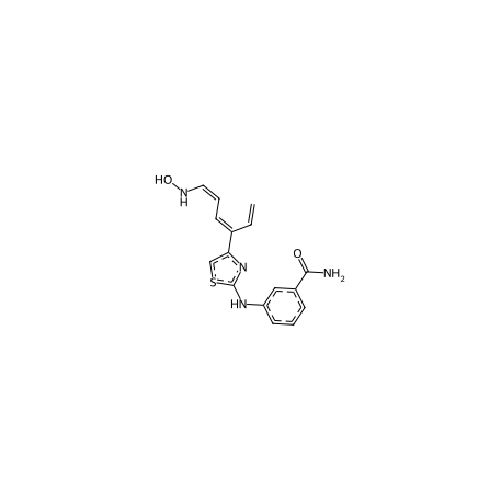 C=C/C(=C\C=C/NO)c1csc(Nc2cccc(C(N)=O)c2)n1